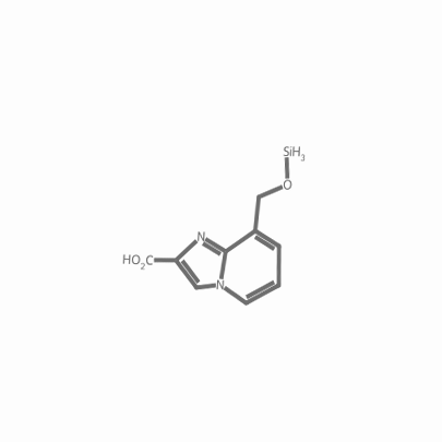 O=C(O)c1cn2cccc(CO[SiH3])c2n1